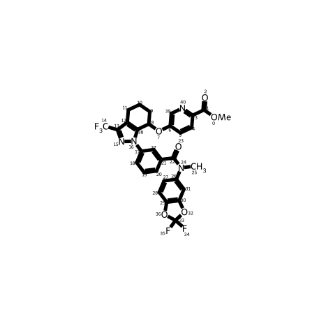 COC(=O)c1ccc(OC2CCCc3c(C(F)(F)F)nn(-c4cccc(C(=O)N(C)c5ccc6c(c5)OC(F)(F)O6)c4)c32)cn1